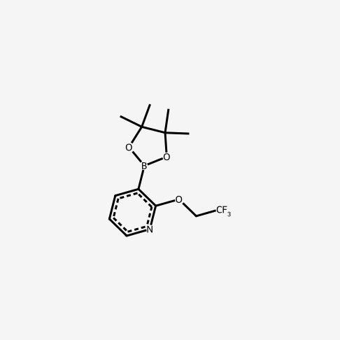 CC1(C)OB(c2cccnc2OCC(F)(F)F)OC1(C)C